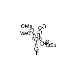 COc1ccc(CNc2ncc(/C=C/c3ccc(F)cc3)c3c2c(-c2ccc(Oc4ccccc4)cc2)nn3C2CCCN(C(=O)OC(C)(C)C)C2)c(OC)c1